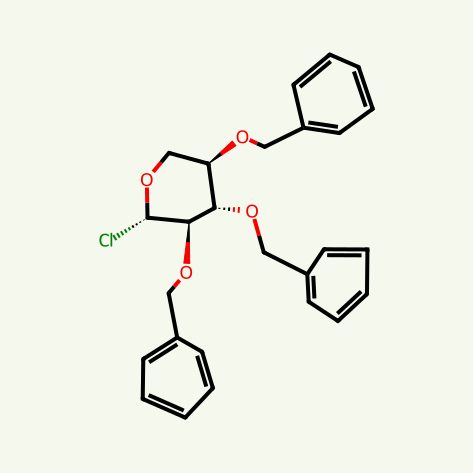 Cl[C@@H]1OC[C@@H](OCc2ccccc2)[C@H](OCc2ccccc2)[C@H]1OCc1ccccc1